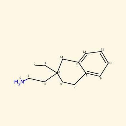 CCC1(CCN)CCc2ccccc2C1